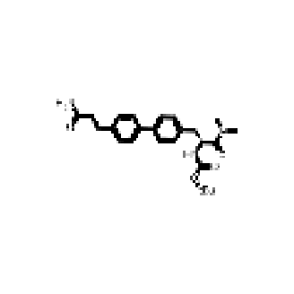 CN(C)C(=O)[C@H](Cc1ccc(-c2ccc(CCC(N)=O)cc2)cc1)NC(=O)OC(C)(C)C